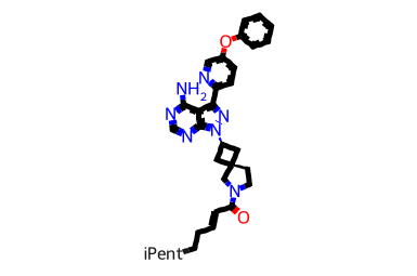 CCCC(C)CC/C=C/C(=O)N1CC[C@]2(C1)C[C@@H](n1nc(-c3ccc(Oc4ccccc4)cn3)c3c(N)ncnc31)C2